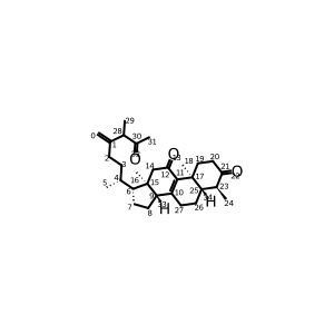 C=C(CC[C@@H](C)[C@H]1CC[C@H]2C3=C(C(=O)C[C@]12C)[C@@]1(C)CCC(=O)[C@@H](C)[C@@H]1CC3)C(C)C(C)=O